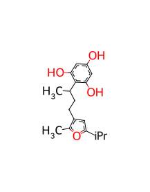 Cc1oc(C(C)C)cc1CCC(C)c1c(O)cc(O)cc1O